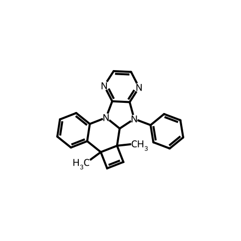 CC12C=CC1(C)C1N(c3ccccc3)c3nccnc3N1c1ccccc12